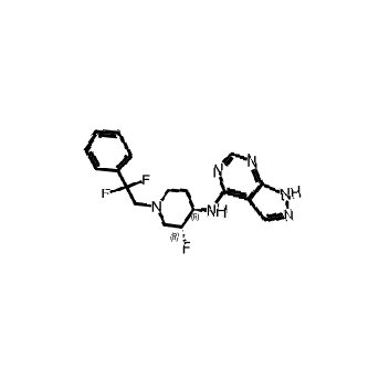 F[C@@H]1CN(CC(F)(F)c2ccccc2)CC[C@H]1Nc1ncnc2[nH]ncc12